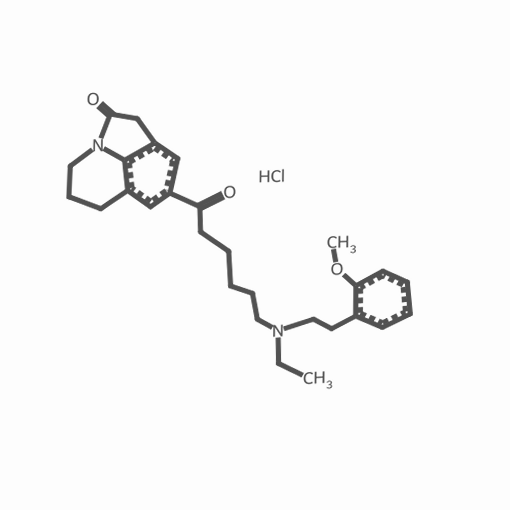 CCN(CCCCCC(=O)c1cc2c3c(c1)CC(=O)N3CCC2)CCc1ccccc1OC.Cl